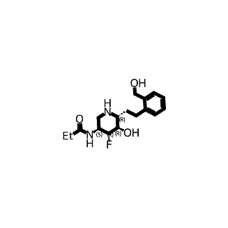 CCC(=O)N[C@H]1CN[C@H](CCc2ccccc2CO)[C@@H](O)[C@@H]1F